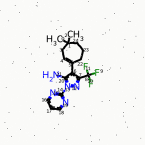 CC1(C)CC=C(c2c(C(F)(F)F)nn(-c3ncccn3)c2N)CCC1